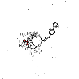 CC[C@H]1OC(=O)[C@H](C)C(=O)[C@H](C)[C@@H](C)[C@@]2(C)C[C@@H](C)/C(=N\C(C)=O)[C@H](C)[C@@H](CC/C(=N\OCc3ccc(-n4cccn4)nc3)CO2)[C@]1(C)O